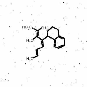 CC=CC=C(C(C)=C(C)C(=O)O)C1CCCc2ccccc21